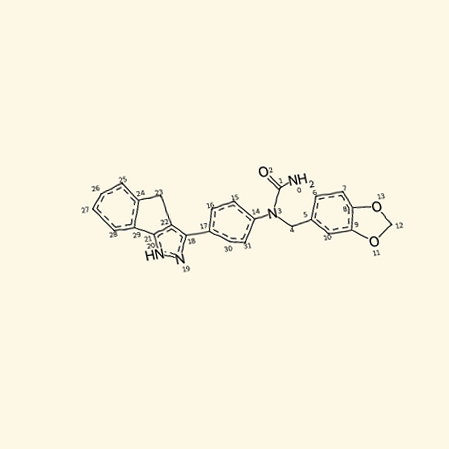 NC(=O)N(Cc1ccc2c(c1)OCO2)c1ccc(-c2n[nH]c3c2Cc2ccccc2-3)cc1